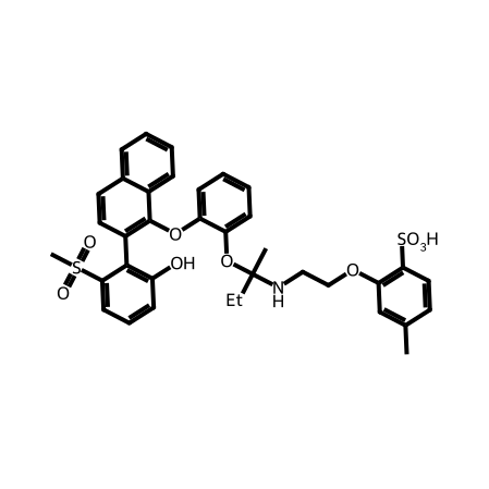 CCC(C)(NCCOc1cc(C)ccc1S(=O)(=O)O)Oc1ccccc1Oc1c(-c2c(O)cccc2S(C)(=O)=O)ccc2ccccc12